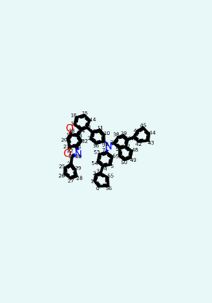 c1ccc(-c2ccc(N(c3ccc(-c4cccc5oc6cc7oc(-c8ccccc8)nc7cc6c45)cc3)c3ccc(-c4ccccc4)c4ccccc34)cc2)cc1